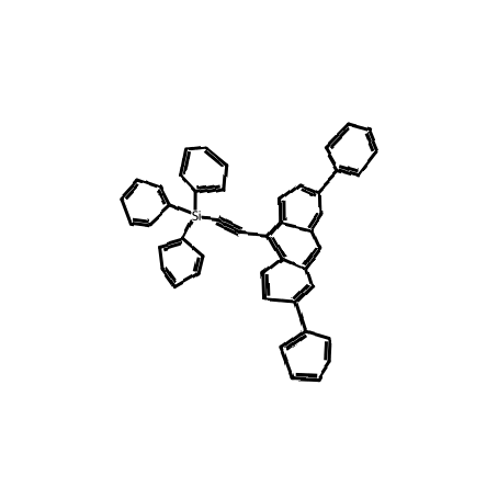 C(#C[Si](c1ccccc1)(c1ccccc1)c1ccccc1)c1c2ccc(-c3ccccc3)cc2cc2cc(-c3ccccc3)ccc12